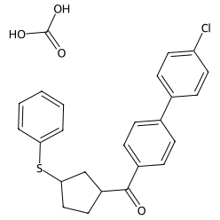 O=C(O)O.O=C(c1ccc(-c2ccc(Cl)cc2)cc1)C1CCC(Sc2ccccc2)C1